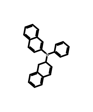 C1=CC(N(c2ccccc2)c2ccc3ccccc3c2)Cc2ccccc21